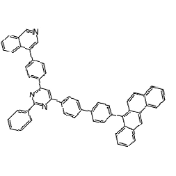 c1ccc(-c2nc(-c3ccc(-c4ccc(-c5c6ccccc6cc6c5ccc5ccccc56)cc4)cc3)cc(-c3ccc(-c4cncc5ccccc45)cc3)n2)cc1